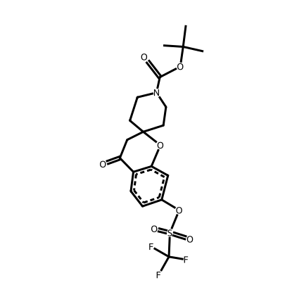 CC(C)(C)OC(=O)N1CCC2(CC1)CC(=O)c1ccc(OS(=O)(=O)C(F)(F)F)cc1O2